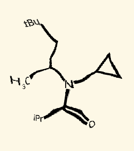 CC(C)C(=O)N(C1CC1)[C@@H](C)CC(C)(C)C